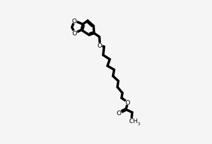 CCC(=O)OCCCCCCCCCCOCc1ccc2c(c1)OCO2